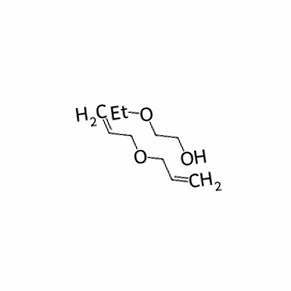 C=CCOCC=C.CCOCCO